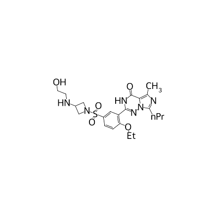 CCCc1nc(C)c2c(=O)[nH]c(-c3cc(S(=O)(=O)N4CC(NCCO)C4)ccc3OCC)nn12